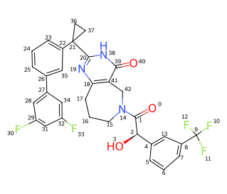 O=C([C@H](O)c1cccc(C(F)(F)F)c1)N1CCCc2nc(C3(c4cccc(-c5cc(F)cc(F)c5)c4)CC3)[nH]c(=O)c2C1